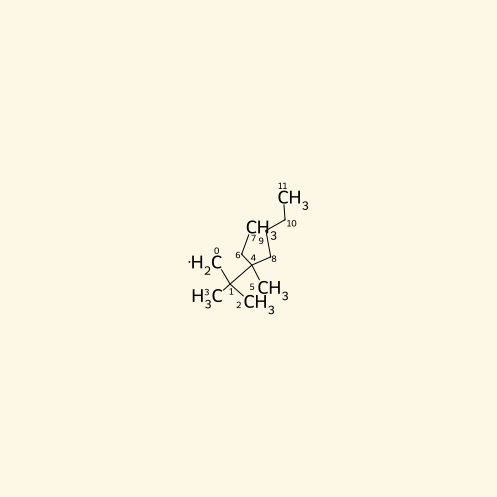 [CH2]C(C)(C)C(C)(CC)CCCC